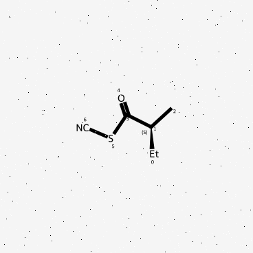 CC[C@H](C)C(=O)SC#N